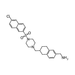 NCc1ccc2c(c1)CCC(CN1CCN(S(=O)(=O)c3ccc4cc(Cl)ccc4c3)CC1)C2